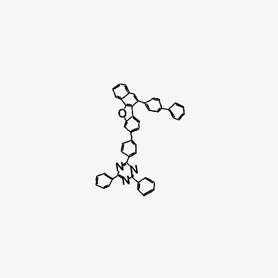 c1ccc(-c2ccc(-c3cc4ccccc4c4oc5cc(-c6ccc(-c7nc(-c8ccccc8)nc(-c8ccccc8)n7)cc6)ccc5c34)cc2)cc1